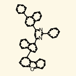 c1ccc(-c2nc(-c3ccc(-c4ccccc4)c4ccccc34)cc(-c3ccc(-c4cccc5oc6ccccc6c45)c4ccccc34)n2)cc1